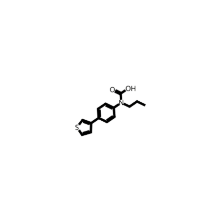 CCCN(C(=O)O)c1ccc(-c2ccsc2)cc1